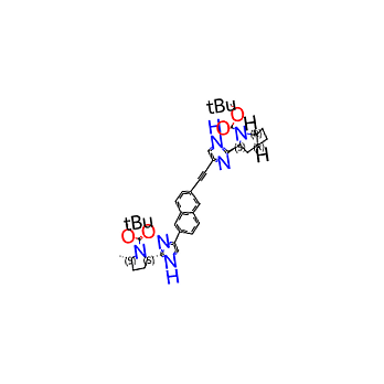 C[C@H]1CC[C@@H](c2nc(-c3ccc4cc(C#Cc5c[nH]c([C@@H]6C[C@H]7CC[C@H]7N6C(=O)OC(C)(C)C)n5)ccc4c3)c[nH]2)N1C(=O)OC(C)(C)C